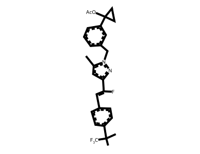 CC(=O)OC1(c2cccc(Cn3nc(/C(F)=C/c4ccc(C(C)(C)C(F)(F)F)cc4)cc3C)c2)CC1